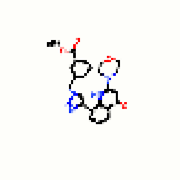 CCCCOC(=O)c1cccc(Cn2cc(-c3cccc4c(=O)cc(N5CCOCC5)[nH]c34)nn2)c1